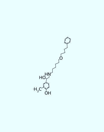 [CH2]c1cc(C(O)CNCCCCCCOCCCCc2ccccc2)ccc1O